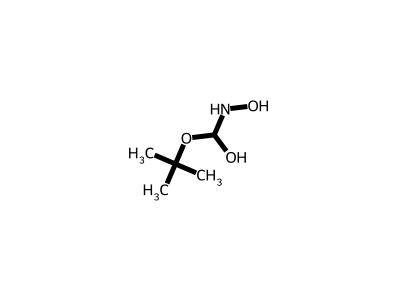 CC(C)(C)OC(O)NO